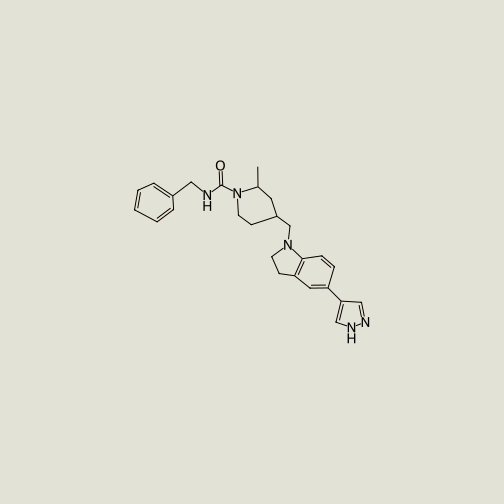 CC1CC(CN2CCc3cc(-c4cn[nH]c4)ccc32)CCN1C(=O)NCc1ccccc1